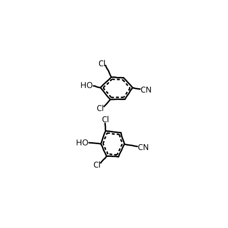 N#Cc1cc(Cl)c(O)c(Cl)c1.N#Cc1cc(Cl)c(O)c(Cl)c1